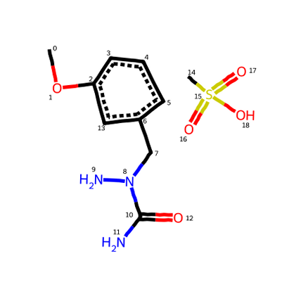 COc1cccc(CN(N)C(N)=O)c1.CS(=O)(=O)O